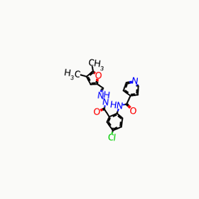 Cc1cc(/C=N/NC(=O)c2cc(Cl)ccc2NC(=O)c2ccncc2)oc1C